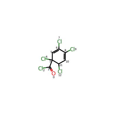 O=C(Cl)C1(Cl)C=C(Cl)C(Cl)=CC1Cl